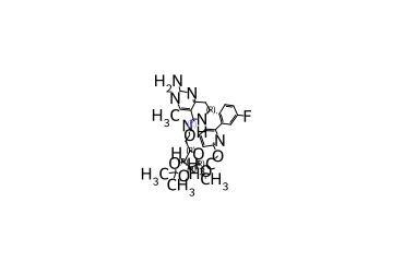 COc1cccc(-c2cc(F)ccc2[C@H]2Cc3nc(N)nc(C)c3/C(=N/OC[C@H]3O[C@@H](OC)[C@@H]4OC(C)(C)O[C@@H]43)N2)n1